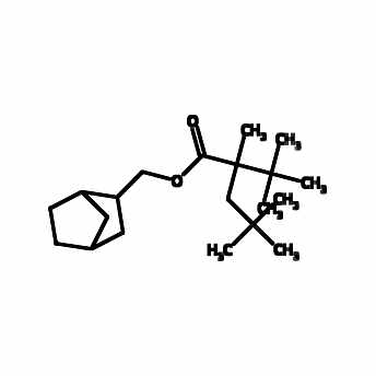 CC(C)(C)CC(C)(C(=O)OCC1CC2CCC1C2)C(C)(C)C